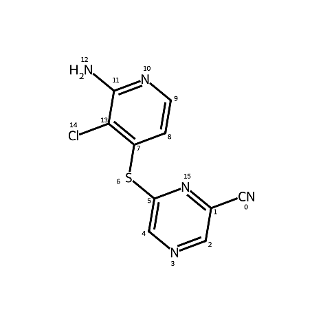 N#Cc1cncc(Sc2ccnc(N)c2Cl)n1